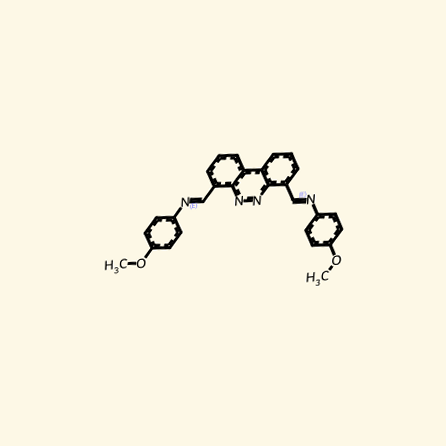 COc1ccc(/N=C/c2cccc3c2nnc2c(/C=N/c4ccc(OC)cc4)cccc23)cc1